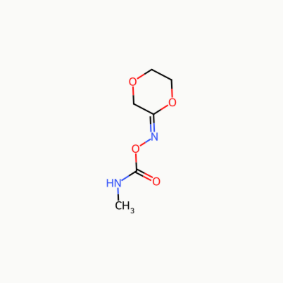 CNC(=O)ON=C1COCCO1